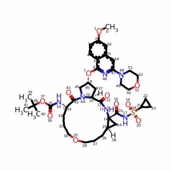 COc1ccc2c(O[C@@H]3C[C@H]4C(=O)N[C@]5(C(=O)NS(=O)(=O)C6CC6)C[C@H]5CCCOCCC[C@H](NC(=O)OC(C)(C)C)C(=O)N4C3)nc(N3CCOCC3)cc2c1